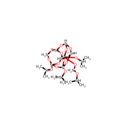 C[SiH](C)O[SiH2]O[Si]1(O[SiH](C)C)O[SiH]2O[SiH]3O[SiH2]O[Si]4(O[SiH](C)C)O[SiH](O3)O[Si@H](O2)O[Si](O[SiH](C)C)(O1)O4